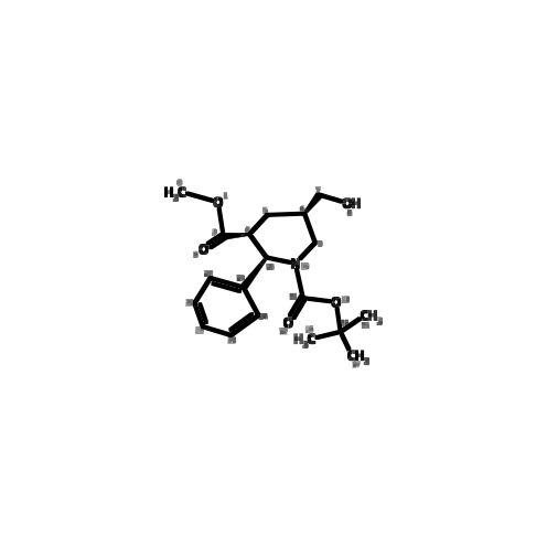 COC(=O)[C@H]1C[C@@H](CO)CN(C(=O)OC(C)(C)C)[C@H]1c1ccccc1